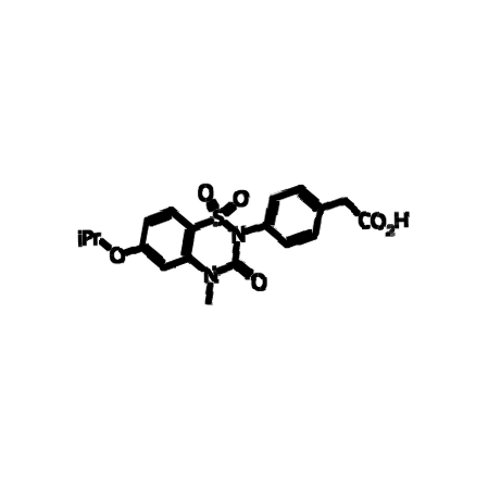 CC(C)Oc1ccc2c(c1)N(C)C(=O)N(c1ccc(CC(=O)O)cc1)S2(=O)=O